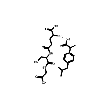 CC(C)Cc1ccc(C(C)C(=O)O)cc1.NC(CCC(=O)NC(CS)C(=O)NCC(=O)O)C(=O)O